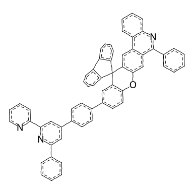 c1ccc(-c2cc(-c3ccc(-c4ccc5c(c4)C4(c6cc7c(cc6O5)c(-c5ccccc5)nc5ccccc57)c5ccccc5-c5ccccc54)cc3)cc(-c3ccccn3)n2)cc1